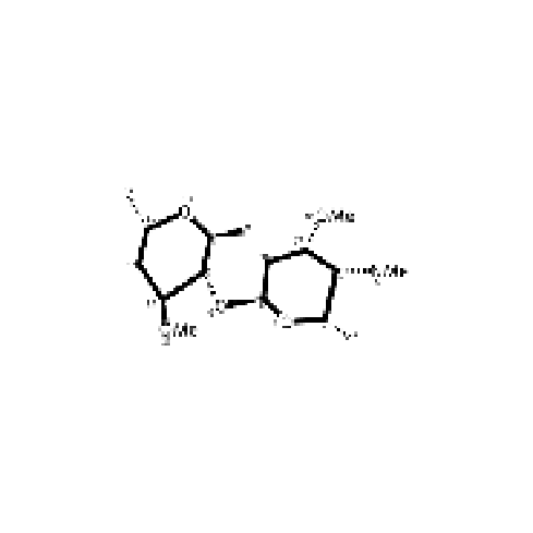 CN[C@@H]1[C@H](C)O[C@@H](O[C@H]2[C@H](C)O[C@@H](C)C[C@@H]2OC)C[C@@H]1OC